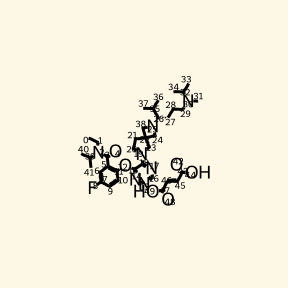 CCN(C(=O)c1cc(F)ccc1Oc1nncnc1N1CCC2(C1)CN([C@@H](CCCN(C)C(C)C)C(C)C)C2)C(C)C.O=C(O)/C=C/C(=O)O